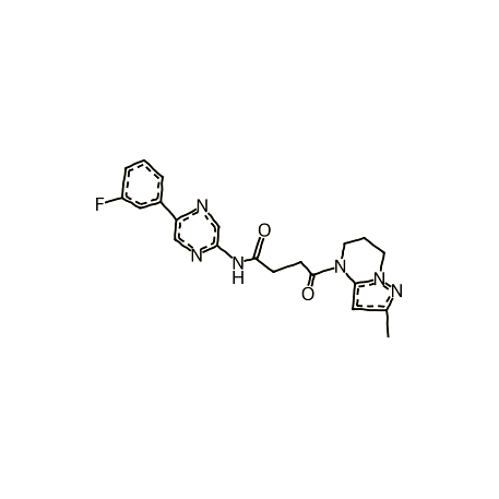 Cc1cc2n(n1)CCCN2C(=O)CCC(=O)Nc1cnc(-c2cccc(F)c2)cn1